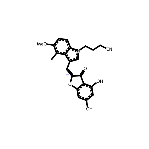 COc1ccc2c(c(/C=C3/Oc4cc(O)cc(O)c4C3=O)cn2CCCC#N)c1C